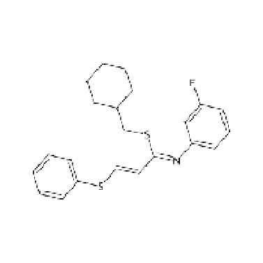 Fc1cccc(N=C(C=CSc2ccccc2)SCC2CCCCC2)c1